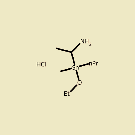 CC[CH2][Sn]([CH3])([O]CC)[CH](C)N.Cl